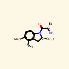 CC[C@H](N)C(=O)N1c2ccc(OC)c(OC)c2C[C@@H]1C(=O)O